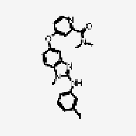 CN(C)C(=O)c1cc(Oc2ccc3c(c2)nc(Nc2cccc(I)c2)n3C)ccn1